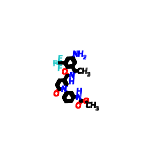 COC(=O)Nc1cccc(-n2cc(C(=O)NC(C)c3cc(N)cc(C(F)(F)F)c3)ccc2=O)c1